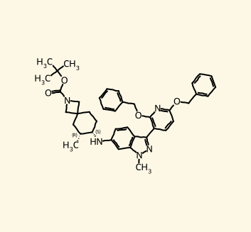 C[C@@H]1CC2(CC[C@@H]1Nc1ccc3c(-c4ccc(OCc5ccccc5)nc4OCc4ccccc4)nn(C)c3c1)CN(C(=O)OC(C)(C)C)C2